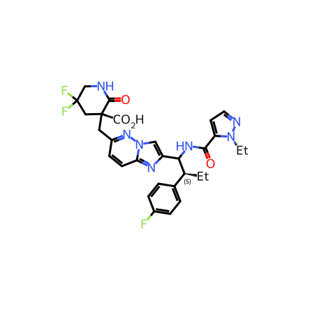 CC[C@@H](c1ccc(F)cc1)C(NC(=O)c1ccnn1CC)c1cn2nc(CC3(C(=O)O)CC(F)(F)CNC3=O)ccc2n1